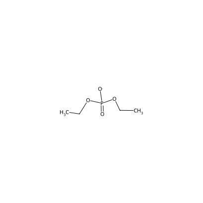 CCOP([O])(=O)OCC